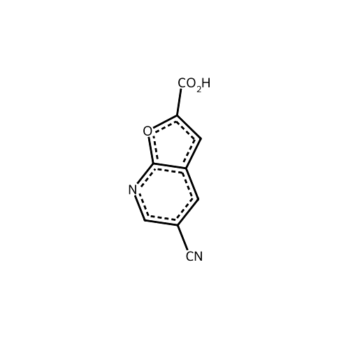 N#Cc1cnc2oc(C(=O)O)cc2c1